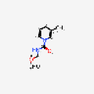 CC1=CN(C(=O)NCOC=O)C=CC1